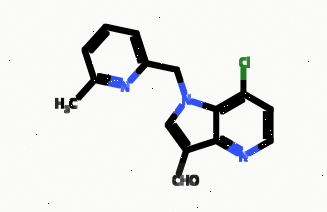 Cc1cccc(Cn2cc(C=O)c3nccc(Cl)c32)n1